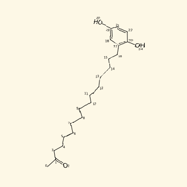 CC(=O)CCCCCCCCCCCCCCc1cc(O)ccc1O